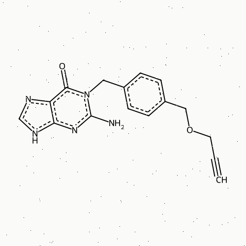 C#CCOCc1ccc(Cn2c(N)nc3[nH]cnc3c2=O)cc1